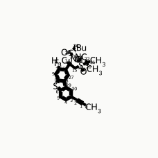 CC#Cc1ccc2sc3cc(F)c(C(C)(CS(=O)(=O)C(C)(C)C#N)N[S+]([O-])C(C)(C)C)cc3c2c1